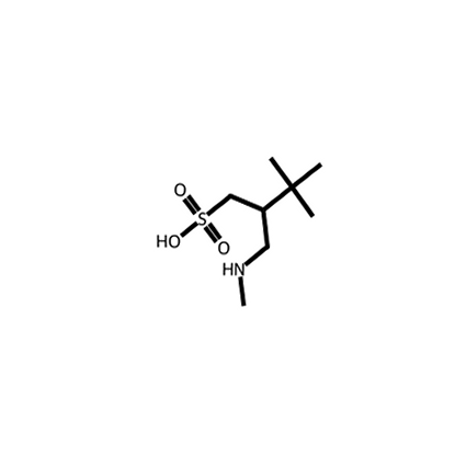 CNCC(CS(=O)(=O)O)C(C)(C)C